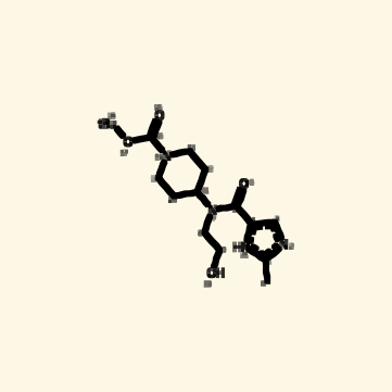 Cc1ncc(C(=O)N(CCO)C2CCN(C(=O)OC(C)(C)C)CC2)[nH]1